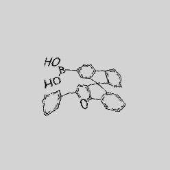 OB(O)c1ccc2c(c1)C1(c3ccccc3-2)c2ccccc2-c2oc(-c3ccccc3)cc21